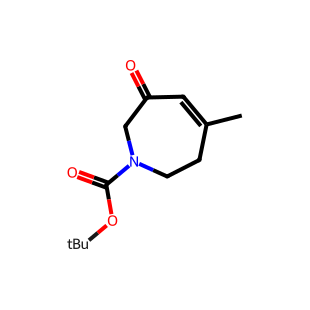 CC1=CC(=O)CN(C(=O)OC(C)(C)C)CC1